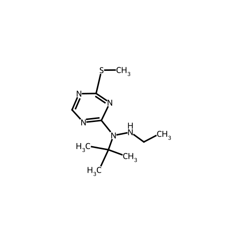 CCNN(c1ncnc(SC)n1)C(C)(C)C